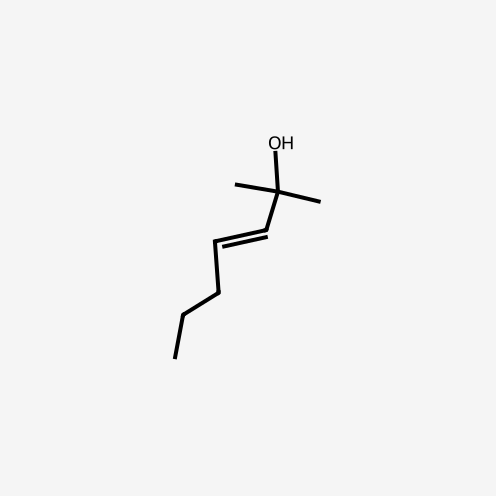 CCCC=CC(C)(C)O